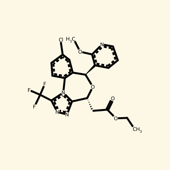 CCOC(=O)C[C@H]1O[C@H](c2cccnc2OC)c2cc(Cl)ccc2-n2c1nnc2C(F)(F)F